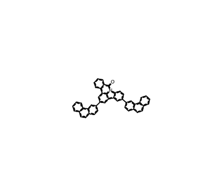 O=c1c2ccccc2c2cc(-c3ccc4ccc5ccccc5c4c3)cc3c4cc(-c5ccc6ccc7ccccc7c6c5)ccc4n1c23